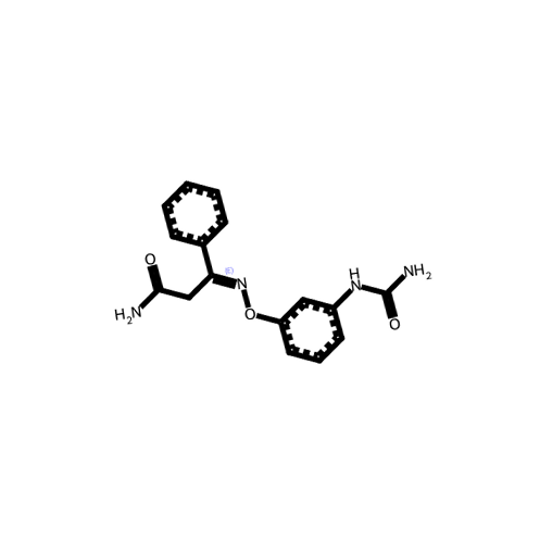 NC(=O)C/C(=N\Oc1cccc(NC(N)=O)c1)c1ccccc1